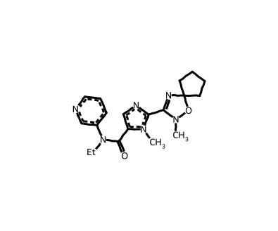 CCN(C(=O)c1cnc(C2=NC3(CCCC3)ON2C)n1C)c1cccnc1